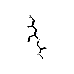 C=C/C(=C\C(F)=C\Cl)OCC(=O)NC